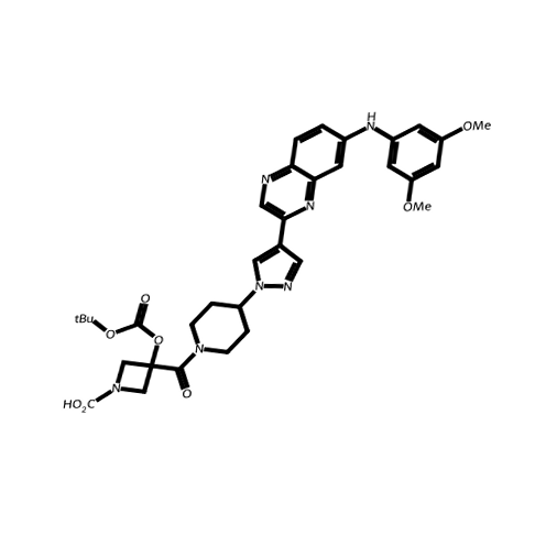 COc1cc(Nc2ccc3ncc(-c4cnn(C5CCN(C(=O)C6(OC(=O)OC(C)(C)C)CN(C(=O)O)C6)CC5)c4)nc3c2)cc(OC)c1